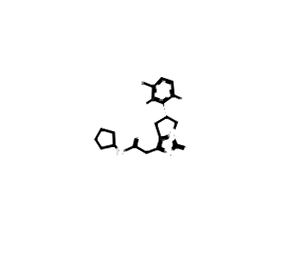 O=C(Cc1[nH]c(=S)n2c1C[C@@H](c1c(F)ccc(Cl)c1F)C2)NC1CCCC1